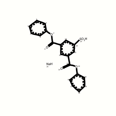 O=C(Oc1ccccc1)c1cc(C(=O)Oc2ccccc2)cc(S(=O)(=O)O)c1.[NaH]